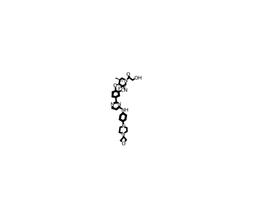 C[C@H]1CN(C(=O)CO)CC(F)(F)[C@H]1Oc1ccc(-c2nccc(Nc3ccc(N4CCN(C5COC5)CC4)cc3)n2)cc1C#N